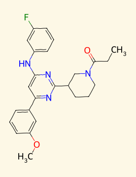 CCC(=O)N1CCCC(c2nc(Nc3cccc(F)c3)cc(-c3cccc(OC)c3)n2)C1